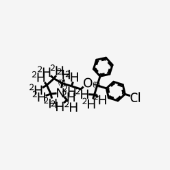 [2H]C([2H])([2H])N1C([2H])([2H])C([2H])([2H])C([2H])([2H])[C@]1([2H])C([2H])([2H])CO[C@](c1ccccc1)(c1ccc(Cl)cc1)C([2H])([2H])[2H]